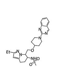 CCc1cc2n(n1)C(COC1CCN(c3ncc4ccccc4n3)CC1)C(NS(C)(=O)=O)CC2